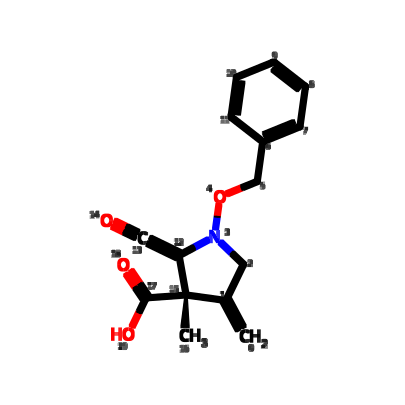 C=C1CN(OCc2ccccc2)C(=C=O)[C@@]1(C)C(=O)O